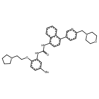 CC(C)(C)c1ccc(OCCN2CCCC2)c(NC(=O)Nc2ccc(-c3ccc(CN4CCOCC4)nc3)c3ccccc23)c1